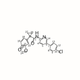 O=C(Nc1ccc(-c2ccc(Cl)cc2)cn1)C1(c2ccc3c(c2)OCO3)CC1